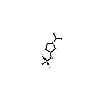 CC(C)N1CCC(NS(C)(=O)=O)C1